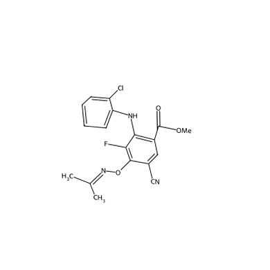 COC(=O)c1cc(C#N)c(ON=C(C)C)c(F)c1Nc1ccccc1Cl